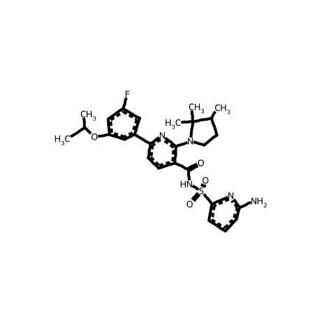 CC(C)Oc1cc(F)cc(-c2ccc(C(=O)NS(=O)(=O)c3cccc(N)n3)c(N3CCC(C)C3(C)C)n2)c1